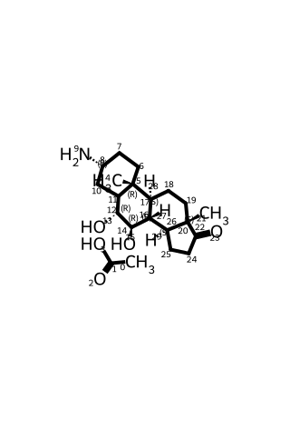 CC(=O)O.C[C@]12CC[C@@H](N)CC1[C@@H](O)[C@H](O)[C@@H]1[C@@H]2CC[C@]2(C)C(=O)CC[C@@H]12